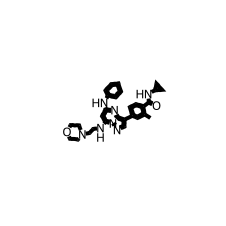 Cc1cc(-c2cnn3c(NCCN4CCOCC4)cc(Nc4ccccc4)nc23)ccc1C(=O)NC1CC1